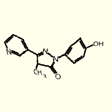 CC1C(=O)N(c2ccc(O)cc2)N=C1c1cccnc1